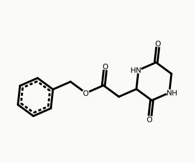 O=C1CNC(=O)C(CC(=O)OCc2ccccc2)N1